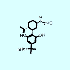 C=C(C)[C@@H]1CC[C@@H](NC=O)C[C@H]1c1c(O)cc(C(C)(C)CCCCCC)cc1O